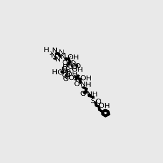 CC(C)(COP(=O)(O)OP(=O)(O)OC[C@H]1O[C@@H](n2cnc3c(N)ncnc32)[C@H](O)[C@@H]1OP(=O)(O)O)[C@@H](O)C(=O)NCCC(=O)NCCSC(=O)CC(O)Cc1ccccc1